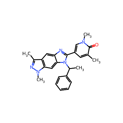 Cc1cc(-c2nc3cc4c(C)nn(C)c4cc3n2C(C)c2ccccc2)cn(C)c1=O